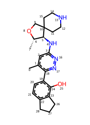 Cc1cc(N[C@H]2[C@H](C)OCC23CCNCC3)nnc1-c1ccc2c(c1O)CCC2